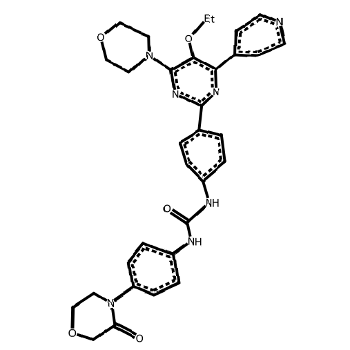 CCOc1c(-c2ccncc2)nc(-c2ccc(NC(=O)Nc3ccc(N4CCOCC4=O)cc3)cc2)nc1N1CCOCC1